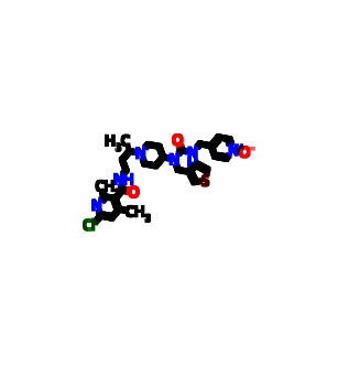 Cc1cc(Cl)nc(C)c1C(=O)NCC[C@@H](C)N1CCC(N(Cc2ccsc2)C(=O)NCc2cc[n+]([O-])cc2)CC1